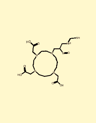 O=NC(CNCS)CN1CCCN(CC(=O)O)CCCN(CC(=O)O)CCN(CC(=O)O)CC1